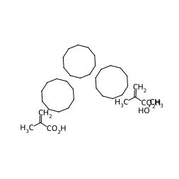 C1CCCCCCCCC1.C1CCCCCCCCC1.C1CCCCCCCCC1.C=C(C)C(=O)O.C=C(C)C(=O)O.CO